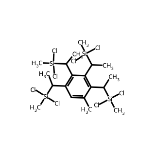 Cc1cc(C(C)[Si](C)(Cl)Cl)c(C(C)[Si](C)(Cl)Cl)c(C(C)[Si](C)(Cl)Cl)c1C(C)[Si](C)(Cl)Cl